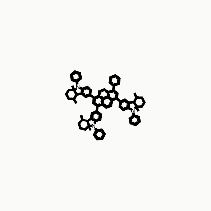 CC1CCCC2(C)C1c1cc(-c3cc(-c4ccccc4)c4ccc5c(-c6ccc7c(c6)C6C(C)CCCC6(C)N7c6ccccc6)cc(-c6ccc7c(c6)C6C(C)CCCC6(C)N7c6ccccc6)c6ccc3c4c56)ccc1N2c1ccccc1